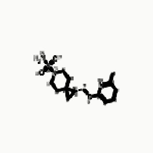 Cc1cccc(OC[C@@H]2CC23CCN(S(N)(=O)=O)CC3)n1